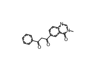 Cn1cnc2ccc(C(=O)CC(=O)c3ccccc3)cc2c1=O